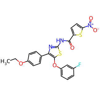 CCOc1ccc(-c2nc(NC(=O)c3ccc([N+](=O)[O-])s3)sc2Oc2cccc(F)c2)cc1